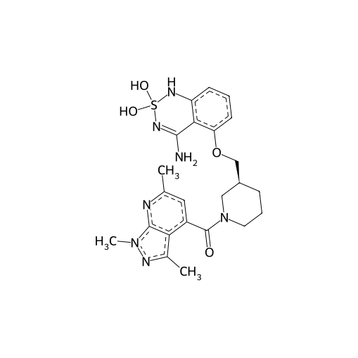 Cc1cc(C(=O)N2CCC[C@H](COc3cccc4c3C(N)=NS(O)(O)N4)C2)c2c(C)nn(C)c2n1